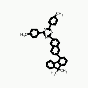 Cc1ccc(-c2nc(-c3ccc(C)cc3)nc(-c3ccc4cc(-c5cccc6c5-c5ccccc5C6(C)C)ccc4c3)n2)cc1